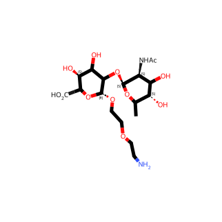 CC(=O)N[C@H]1C(O)[C@H](O)C(C)O[C@H]1OC1C(O)[C@H](O)C(C(=O)O)O[C@H]1OCCOCCN